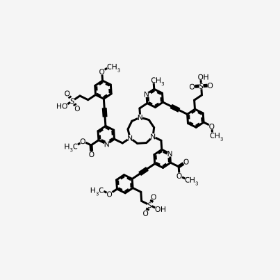 COC(=O)c1cc(C#Cc2ccc(OC)cc2CCS(=O)(=O)O)cc(CN2CCN(Cc3cc(C#Cc4ccc(OC)cc4CCS(=O)(=O)O)cc(C)n3)CCN(Cc3cc(C#Cc4ccc(OC)cc4CCS(=O)(=O)O)cc(C(=O)OC)n3)CC2)n1